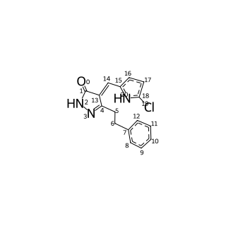 O=C1NN=C(CCc2ccccc2)/C1=C\c1ccc(Cl)[nH]1